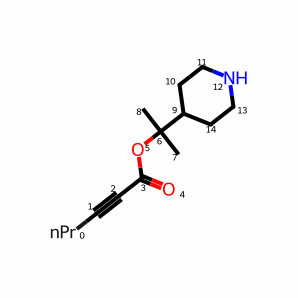 CCCC#CC(=O)OC(C)(C)C1CCNCC1